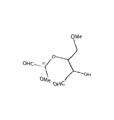 COCC(O[C@@H](C=O)OC)C(O)C=O